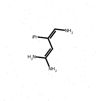 CC(C)/C(C=C(N)N)=C/N